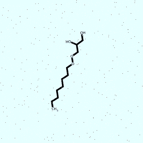 CCCCCCCCOOCC(O)CO